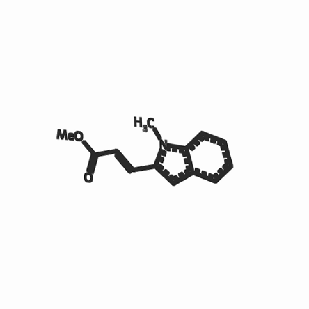 COC(=O)C=Cc1cc2ccccc2n1C